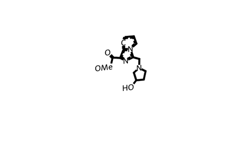 COC(=O)c1nc(CN2CCC(O)C2)n2ccccc12